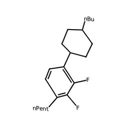 CCCCCc1ccc(C2CCC(CCCC)CC2)c(F)c1F